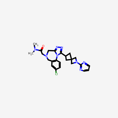 CN(C)C(=O)CN1Cc2cc(Cl)ccc2-n2c(nnc2C2CC3(C2)CN(c2ncccn2)C3)C1